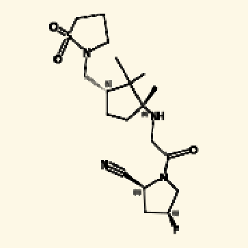 CC1(C)[C@@H](CN2CCCS2(=O)=O)CC[C@@]1(C)NCC(=O)N1C[C@@H](F)C[C@H]1C#N